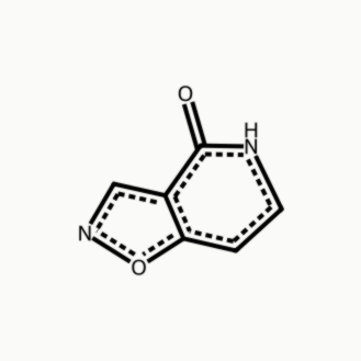 O=c1[nH]ccc2oncc12